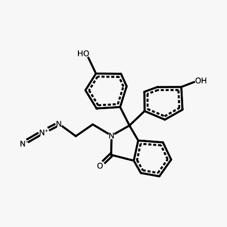 [N-]=[N+]=NCCN1C(=O)c2ccccc2C1(c1ccc(O)cc1)c1ccc(O)cc1